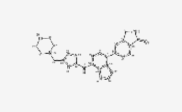 O=C1NCc2cc(-c3cnc(Nc4nc(CN5CCOCC5)cs4)c4nccn34)ccc21